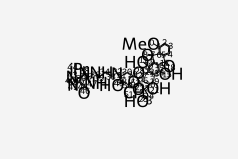 COc1cccc2c1C(=O)c1c(O)c3c(c(O)c1C2=O)C[C@@](O)(C(=O)CO)C[C@@H]3OC1CC(/N=C/CCNc2nc3c(ncn3C(C)C)c(=O)[nH]2)C(O)C(C)O1